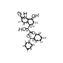 O=C(OC(c1ccccc1)c1ccccc1)C(O)c1ccc(O)c2[nH]c(=O)ccc12